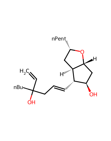 C=CC(O)(CC=C[C@@H]1[C@H]2C[C@H](CCCCC)O[C@@H]2C[C@H]1O)CCCC